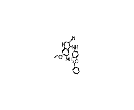 CCOc1cc2ncc(C#N)c(Nc3ccc(OCc4ccccc4)cc3)c2cc1N